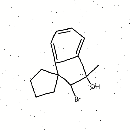 CC1(O)c2ccccc2C2(CCCC2)C1Br